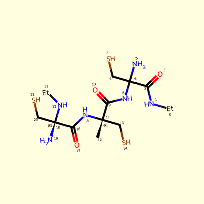 CCNC(=O)C(N)(CS)NC(=O)[C@](C)(CS)NC(=O)[C@](N)(CS)NCC